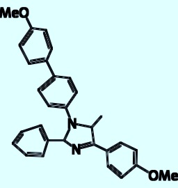 COc1ccc(C2=NC(c3ccccc3)N(c3ccc(-c4ccc(OC)cc4)cc3)C2C)cc1